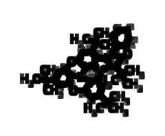 CC(C)(C)c1cc2c3c(c1)Oc1cc(C(C)(C)C)c4c5c1B3c1c(cc(C(C)(C)C)cc1-n5c1c(C(C)(C)C)c3oc5ccccc5c3n41)O2